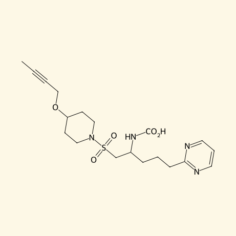 CC#CCOC1CCN(S(=O)(=O)CC(CCCc2ncccn2)NC(=O)O)CC1